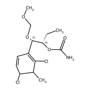 CC[C@H](OC(N)=O)[C@@H](OCOC)C1=C(Cl)C(C)C(Cl)C=C1